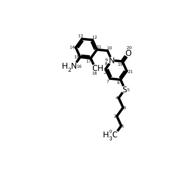 CCCCCSc1ccn(Cc2cccc(N)c2C)c(=O)c1